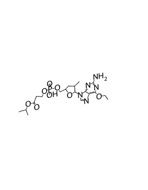 CCOc1nc(N)nc2c1ncn2C1OC(COP(=O)(O)OCCC(=O)OC(C)C)CC1C